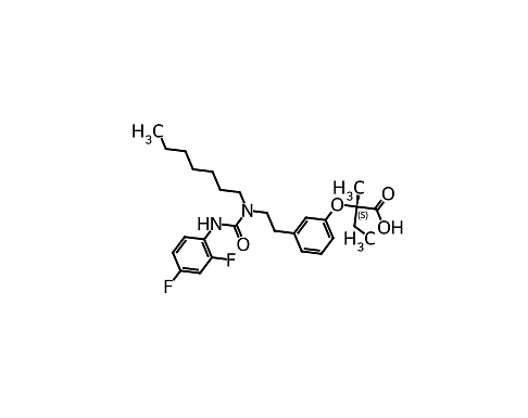 CCCCCCCN(CCc1cccc(O[C@@](C)(CC)C(=O)O)c1)C(=O)Nc1ccc(F)cc1F